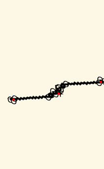 C=CC(=O)OCCCCCCCCCCCCCCCCCCCCOc1ccc(C(=O)Oc2cc(F)c(OC(=O)c3ccc(OCCCCCCCCCCCCCCCCCCCCOC(=O)C=C)cc3)c(F)c2)cc1